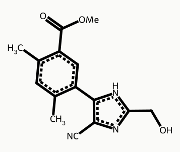 COC(=O)c1cc(-c2[nH]c(CO)nc2C#N)c(C)cc1C